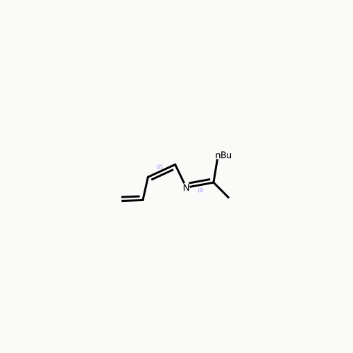 C=C/C=C\N=C(\C)CCCC